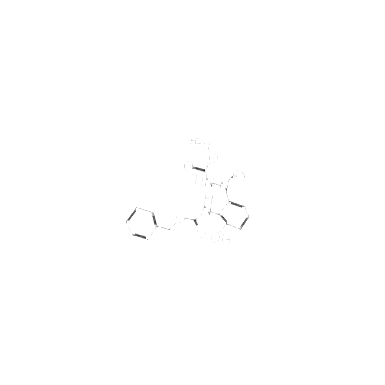 CC(C)N(NC(=O)OC(C)(C)C)c1cccc(O)c1NC(=O)OCc1ccccc1